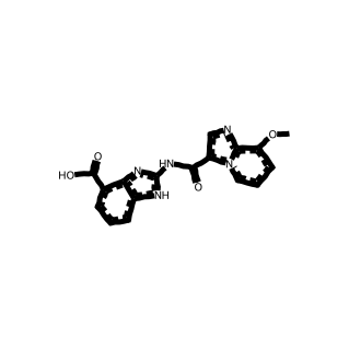 COc1cccn2c(C(=O)Nc3nc4c(C(=O)O)cccc4[nH]3)cnc12